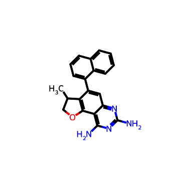 CC1COc2c1c(-c1cccc3ccccc13)cc1nc(N)nc(N)c21